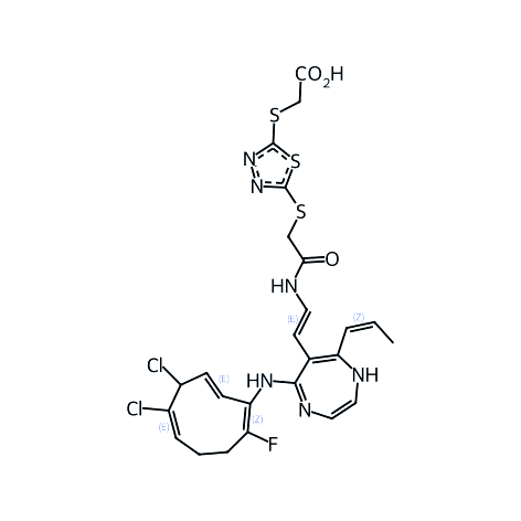 C/C=C\C1=C(/C=C/NC(=O)CSc2nnc(SCC(=O)O)s2)C(NC2=C(\F)CC/C=C(/Cl)C(Cl)\C=C\2)=NC=CN1